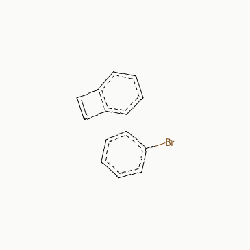 Brc1ccccc1.C1=Cc2ccccc21